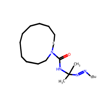 CC(C)(C)N=NC(C)(C)NC(=O)N1CCCCCCCCCCC1